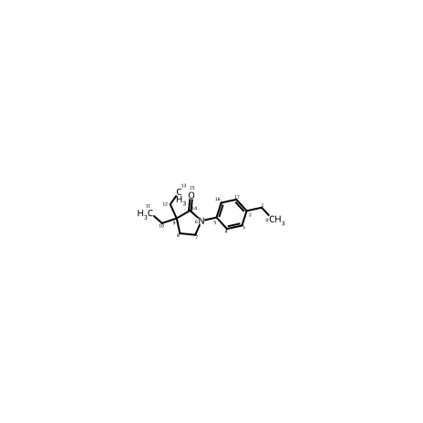 CCc1ccc(N2CCC(CC)(CC)C2=O)cc1